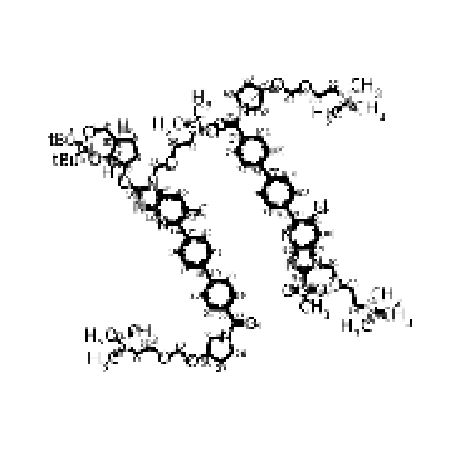 CC(C)(C)[Si]1(C(C)(C)C)OC[C@H]2CC[C@@H](Oc3nc4nc(-c5ccc(-c6ccc(C(=O)N7CC[C@@H](OCOCC[Si](C)(C)C)C7)cc6)cc5)c(Cl)cc4n3COCC[Si](C)(C)C)[C@@H]2O1.C[Si](C)(C)CCOCO[C@@H]1CCN(C(=O)c2ccc(-c3ccc(-c4nc5nc(S(C)(=O)=O)n(COCC[Si](C)(C)C)c5cc4Cl)cc3)cc2)C1